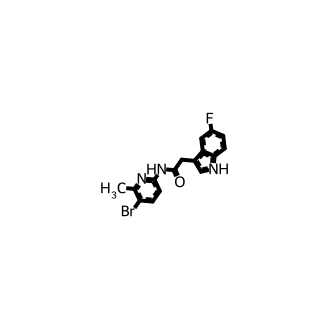 Cc1nc(NC(=O)Cc2c[nH]c3ccc(F)cc23)ccc1Br